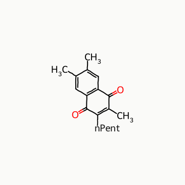 CCCCCC1=C(C)C(=O)c2cc(C)c(C)cc2C1=O